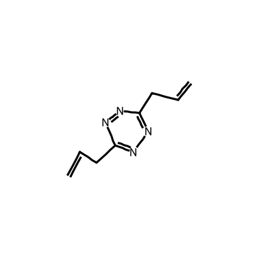 C=CCc1nnc(CC=C)nn1